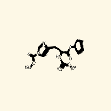 CC(C)(C)OC(=O)NC(Cc1cn(C(=O)OC(C)(C)C)cn1)C(=O)OC1CCCC1